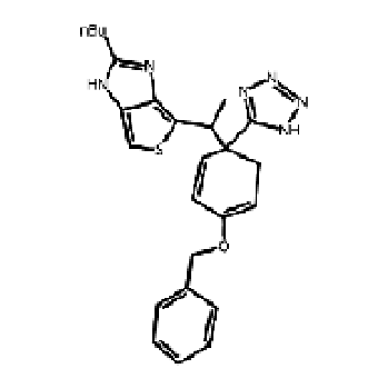 CCCCc1nc2c(C(C)C3(c4nnn[nH]4)C=CC(OCc4ccccc4)=CC3)scc2[nH]1